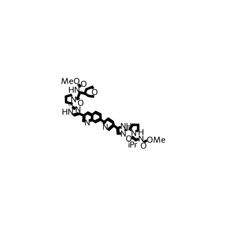 COC(=O)N[C@H](C(=O)N1CCC[C@H]1c1ncc(-c2ccc(-c3ccc4cc(-c5c[nH]c([C@@H]6CCCN6C(=O)[C@@H](NC(=O)OC)C6CCOCC6)n5)cnc4c3)nc2)[nH]1)C(C)C